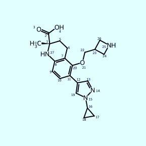 C[C@@]1(C(=O)O)CCc2c(ccc(-c3cnn(C4CC4)c3)c2OCC2CNC2)N1